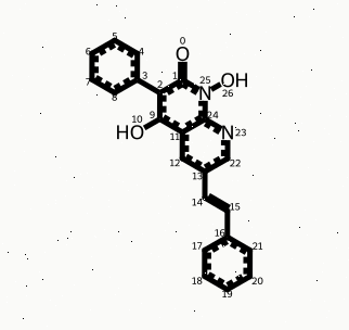 O=c1c(-c2ccccc2)c(O)c2cc(/C=C/c3ccccc3)cnc2n1O